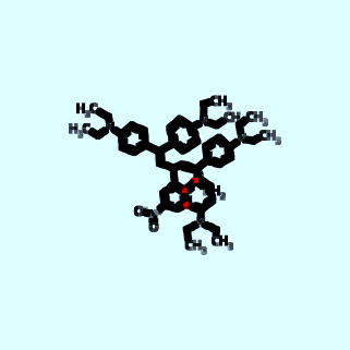 CCN(CC)c1ccc(C(=CC(C=C(c2ccc(N(CC)CC)cc2)c2ccc(N(CC)CC)cc2)c2cc([N+](=O)[O-])ccc2C(N)=O)c2ccc(N(CC)CC)cc2)cc1